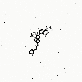 CC1(C)O[C@H]2[C@H](n3ccc4c(N)ncnc43)CC3(CC(CCCc4cccnc4)C3)[C@H]2O1